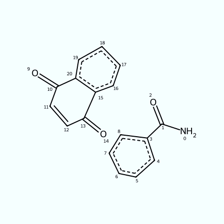 NC(=O)c1ccccc1.O=C1C=CC(=O)c2ccccc21